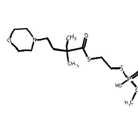 COP(=O)(O)SCCSC(=O)C(C)(C)CCN1CCOCC1